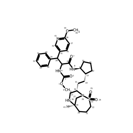 COC(=O)NC(C(=O)N[C@H]1CCC[C@@H]1CC[C@H]1CN[C@@H]2CCCS(=O)(=O)N1C2)C(c1ccccc1)c1ccc(OC)nc1